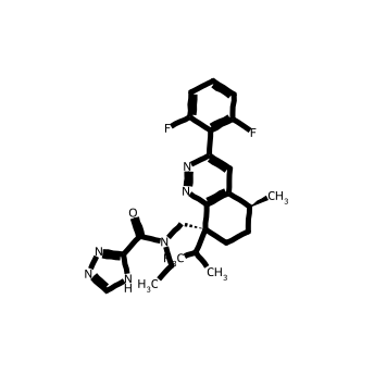 CCN(C[C@@]1(C(C)C)CC[C@H](C)c2cc(-c3c(F)cccc3F)nnc21)C(=O)c1nnc[nH]1